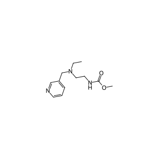 CCN(CCNC(=O)OC)Cc1cccnc1